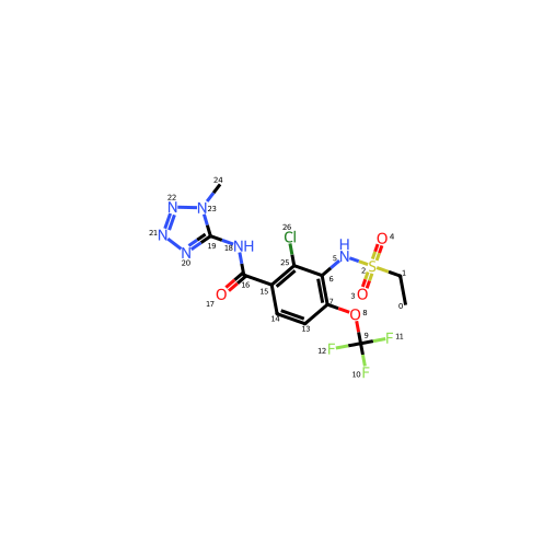 CCS(=O)(=O)Nc1c(OC(F)(F)F)ccc(C(=O)Nc2nnnn2C)c1Cl